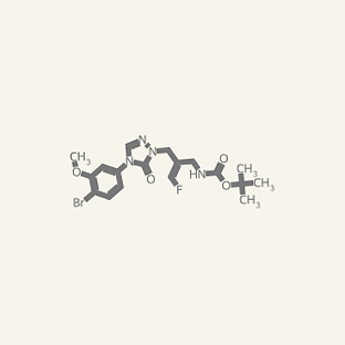 COc1cc(-n2cnn(CC(=CF)CNC(=O)OC(C)(C)C)c2=O)ccc1Br